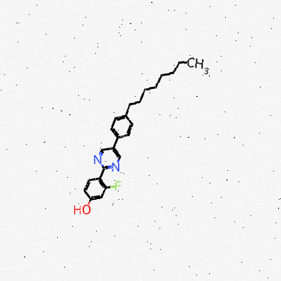 CCCCCCCCc1ccc(-c2cnc(-c3ccc(O)cc3F)nc2)cc1